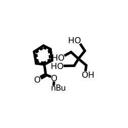 CCCCOC(=O)c1ccccc1.OCC(CO)(CO)CO